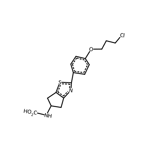 O=C(O)NC1Cc2nc(-c3ccc(OCCCCl)cc3)sc2C1